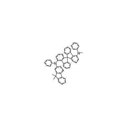 CN(c1ccccc1)c1cccc2c1-c1ccccc1C21c2ccccc2-c2c(N(c3ccccc3)c3ccc4c(c3)C(C)(C)c3ccccc3-4)cccc21